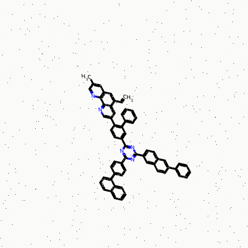 C=Cc1cc2cc(C)cnc2c2ncc(-c3ccc(-c4nc(-c5ccc(-c6cccc7ccccc67)cc5)nc(-c5ccc6cc(-c7ccccc7)ccc6c5)n4)cc3-c3ccccc3)cc12